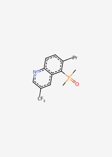 CC(C)c1ccc2ncc(C(F)(F)F)cc2c1P(C)(C)=O